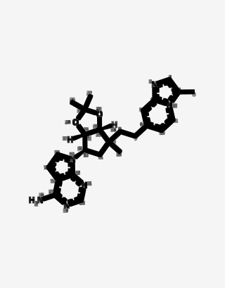 Cc1cnc2cc(CCC3(C)C[C@@H](n4ccc5c(N)ncnc54)[C@@H]4OC(C)(C)O[C@@H]43)ccn12